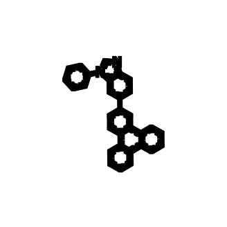 c1ccc(-n2cnc3ccc(-c4ccc5c6ccccc6c6ccccc6c5c4)cc32)cc1